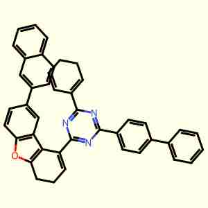 C1=CC(c2nc(C3=CCCc4oc5ccc(-c6ccc7ccccc7c6)cc5c43)nc(-c3ccc(-c4ccccc4)cc3)n2)=CCC1